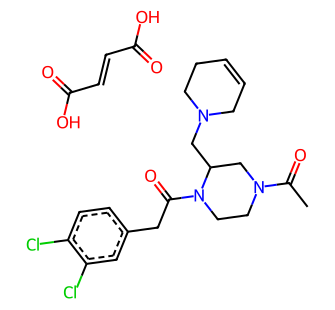 CC(=O)N1CCN(C(=O)Cc2ccc(Cl)c(Cl)c2)C(CN2CC=CCC2)C1.O=C(O)C=CC(=O)O